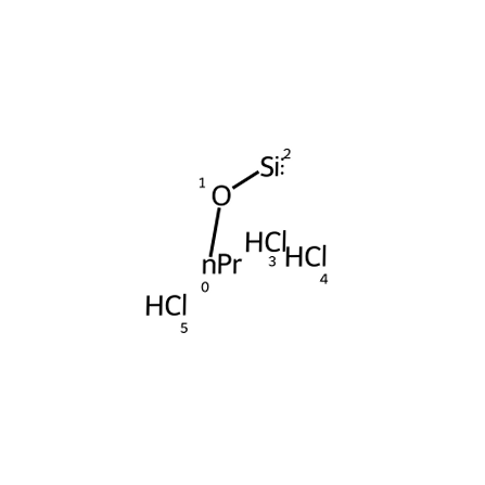 CCCO[Si].Cl.Cl.Cl